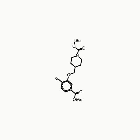 COC(=O)c1ccc(Br)c(OCC2CCN(C(=O)OC(C)(C)C)CC2)c1